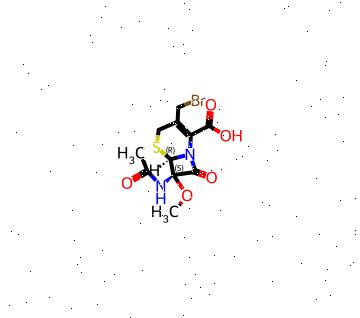 CO[C@@]1(NC(C)=O)C(=O)N2C(C(=O)O)=C(CBr)CS[C@@H]21